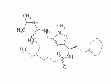 CCN(CC)CCCS(=O)(=O)N[C@H](CCC1CCCCC1)c1nc(CNC(=O)NC(C)C)n(C)n1